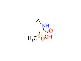 C[S+]([O-])C[C@H](NC1CC1)C(=O)O